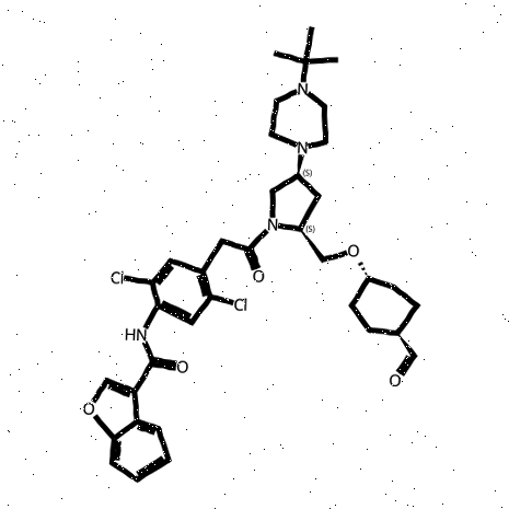 CC(C)(C)N1CCN([C@H]2C[C@@H](CO[C@H]3CC[C@H](C=O)CC3)N(C(=O)Cc3cc(Cl)c(NC(=O)c4coc5ccccc45)cc3Cl)C2)CC1